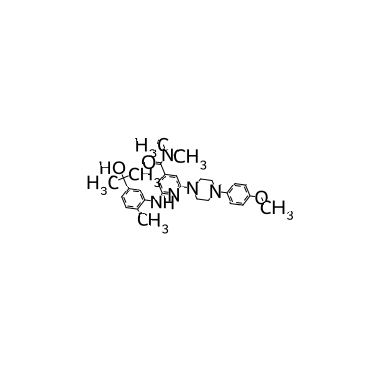 COc1ccc(N2CCN(c3cc(C(=O)N(C)C)cc(Nc4cc(C(C)(C)O)ccc4C)n3)CC2)cc1